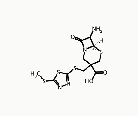 CSc1nnc(SCC2(C(=O)O)CS[C@@H]3C(N)C(=O)N3C2)s1